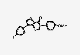 COc1ccc(-n2cnc3c(-c4ccc(F)cc4)csc3c2=O)cc1